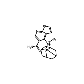 CC(C)OC12CC3CC(C1)C(Nc1c(C(N)=O)cnc4[nH]ccc14)C(C3)C2